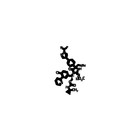 CC(C)(C)CC1(c2ccc(-c3cnn(C(F)F)c3)cc2)NC(=NC(=O)O)N([C@H](COC(=O)NC2(C)CC2)c2ccc(Cl)c(-c3ccccn3)c2)C1=O